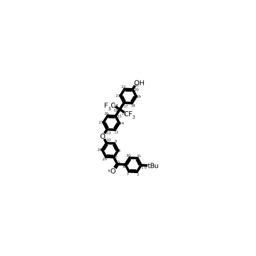 CC(C)(C)c1ccc(C(=O)c2ccc(Oc3ccc(C(c4ccc(O)cc4)(C(F)(F)F)C(F)(F)F)cc3)cc2)cc1